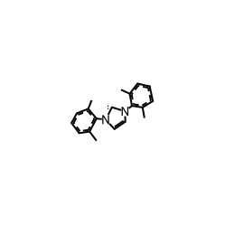 Cc1cccc(C)c1N1[C]N(c2c(C)cccc2C)C=C1